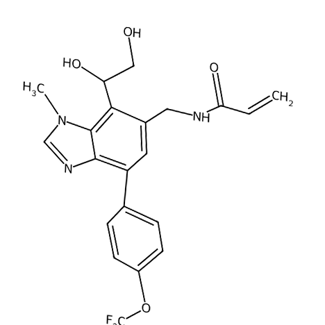 C=CC(=O)NCc1cc(-c2ccc(OC(F)(F)F)cc2)c2ncn(C)c2c1C(O)CO